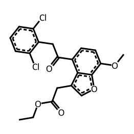 CCOC(=O)Cc1coc2c(OC)ccc(C(=O)Cc3c(Cl)cccc3Cl)c12